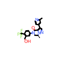 Cc1cc(-c2cnn3c2C(=O)N(c2ccc(C(F)(F)F)c(CO)c2)C[C@@H]3C)ccn1